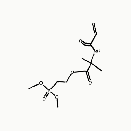 C=CC(=O)NC(C)(C)C(=O)OCCP(=O)(OC)OC